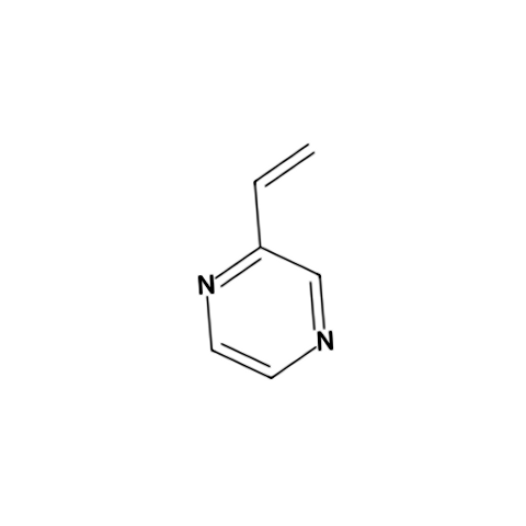 C=Cc1cnccn1